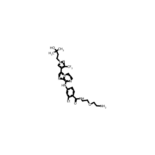 CCc1cc(Nc2nccn3c(-c4cn(CCC(C)(C)O)nc4C(F)(F)F)cnc23)ccc1C(=O)NCCOCCN